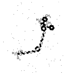 Cc1cc(C)c(C2=C(OCc3ccccc3)C3(CCC(OCCOCCOCCN4CCN(CCOCCOCC(=O)OC(C)(C)C)CC4)CC3)OC2=O)c(C)c1